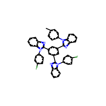 Cc1ccc(-n2c(-c3cc(-c4nc5ccccc5n4-c4ccc(F)cc4)cc(-c4nc5ccccc5n4-c4ccc(F)cc4)c3)nc3ccccc32)cc1